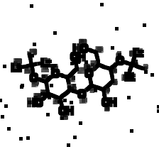 CCC(C)(CC)OC1CC(O)C(OC2C(CO)OC(OC(C)(CC)CC)C(O)C2O)OC1CO